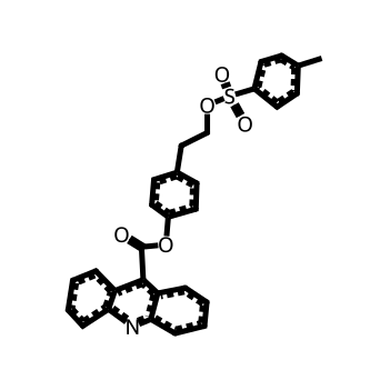 Cc1ccc(S(=O)(=O)OCCc2ccc(OC(=O)c3c4ccccc4nc4ccccc34)cc2)cc1